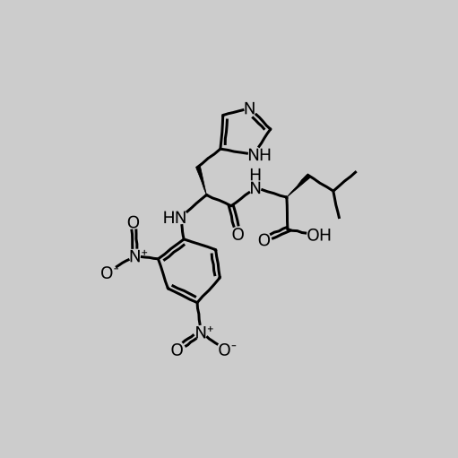 CC(C)C[C@H](NC(=O)[C@H](Cc1cnc[nH]1)Nc1ccc([N+](=O)[O-])cc1[N+](=O)[O-])C(=O)O